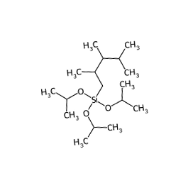 CC(C)O[Si](CC(C)C(C)C(C)C)(OC(C)C)OC(C)C